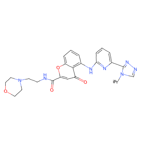 CC(C)n1cnnc1-c1cccc(Nc2cccc3oc(C(=O)NCCN4CCOCC4)cc(=O)c23)n1